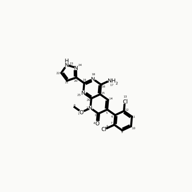 COn1c(=O)c(-c2c(Cl)cccc2Cl)cc2c(N)nc(-c3cc[nH]n3)nc21